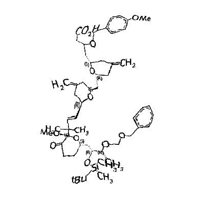 C=C1C[C@H](C[C@@H]2CC(=C)C[C@H](C=CC(C)(C)[C@]3(OC)O[C@H](C[C@@H](O[Si](C)(C)C(C)(C)C)[C@@H](C)OCOCc4ccccc4)CCC3=O)O2)O[C@H](CC(CC(=O)O)OCc2ccc(OC)cc2)C1